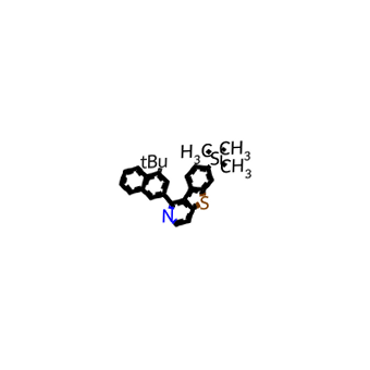 CC(C)(C)c1cc(-c2nccc3sc4cc([Si](C)(C)C)ccc4c23)cc2ccccc12